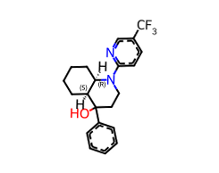 OC1(c2ccccc2)CCN(c2ccc(C(F)(F)F)cn2)[C@@H]2CCCC[C@@H]21